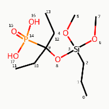 CCC[Si](OC)(OC)OC(CC)(CC)P(=O)(O)O